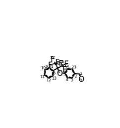 O=Cc1ccc(OC(c2ccccc2)(C(F)(F)F)C(F)(F)F)cc1